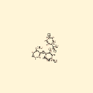 CC(C)(C)c1ccccc1Oc1nnc(Cl)cc1OS(=O)(=O)c1ccc(Cl)cc1